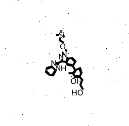 Cc1c(-c2ccc3c(c2)c(-c2nc4ccccc4[nH]2)nn3COCC[Si](C)(C)C)ccc(CCCO)c1O